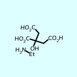 CCN.O=C(O)CC(O)(CC(=O)O)C(=O)O